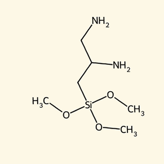 CO[Si](CC(N)CN)(OC)OC